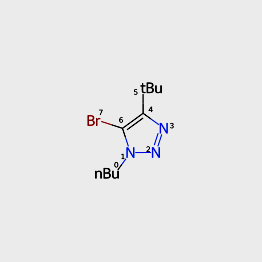 CCCCn1nnc(C(C)(C)C)c1Br